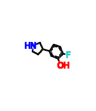 Oc1cc(C2CCNC2)ccc1F